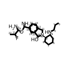 CCCN[C@@H]1CCCC[C@H]1N1Cc2ccc(C(N)OC(N)C(C)F)cc2C1O